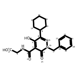 O=C(O)CNC(=O)c1c(O)c(C2CCCCC2)nn(Cc2ccccc2)c1=O